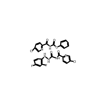 O=C(NC(=O)c1ccc(Cl)cn1)Oc1ccccc1.O=C(NNc1ccc(F)cc1F)NC(=O)c1ccc(Cl)cn1